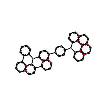 c1ccc(-c2ccccc2N(c2ccc(-c3ccc(N(c4ccccc4-c4ccccc4)c4ccccc4-c4ccccc4)cc3)cc2)c2ccccc2-c2ccccc2)cc1